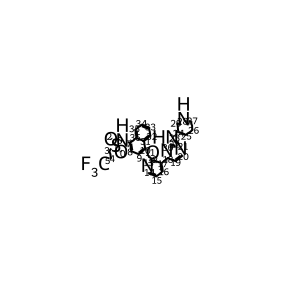 O=S(=O)(CCC(F)(F)F)Nc1ccc(Oc2ncccc2-c2ccnc(NC3CCCNC3)n2)c2ccccc12